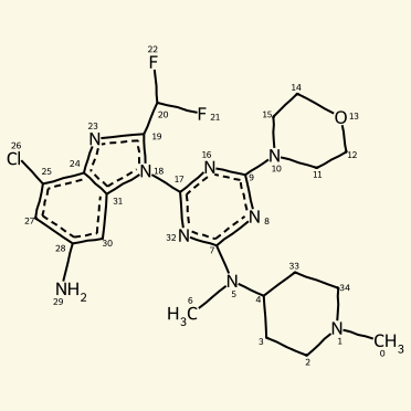 CN1CCC(N(C)c2nc(N3CCOCC3)nc(-n3c(C(F)F)nc4c(Cl)cc(N)cc43)n2)CC1